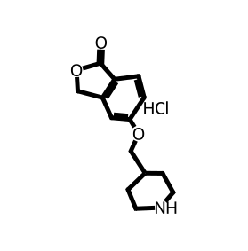 Cl.O=C1OCc2cc(OCC3CCNCC3)ccc21